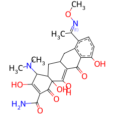 CO/N=C(\C)c1ccc(O)c2c1CC1CC3C(N(C)C)C(O)=C(C(N)=O)C(=O)C3(O)C(O)=C1C2=O